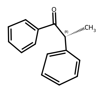 C[C@@H](C(=O)c1ccccc1)c1ccccc1